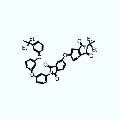 CCC(C)(CC)c1cccc(Oc2cccc(Oc3cccc(N4C(=O)c5ccc(Oc6ccc7c(c6)C(=O)N(C(C)(CC)CC)C7=O)cc5C4=O)c3)c2)c1